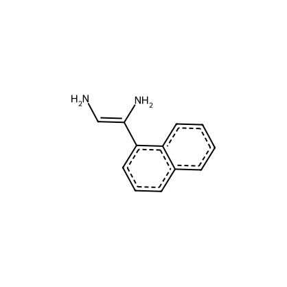 NC=C(N)c1cccc2ccccc12